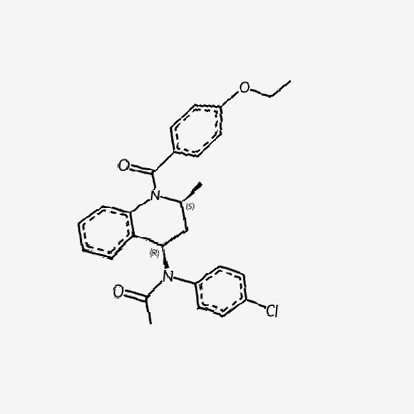 CCOc1ccc(C(=O)N2c3ccccc3[C@H](N(C(C)=O)c3ccc(Cl)cc3)C[C@@H]2C)cc1